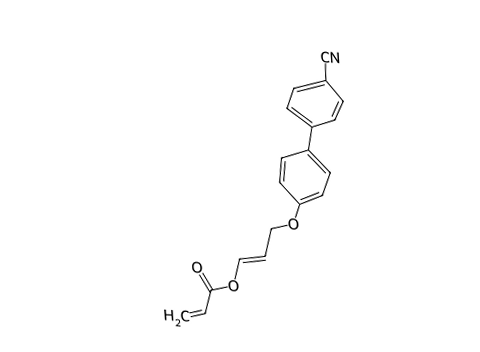 C=CC(=O)OC=CCOc1ccc(-c2ccc(C#N)cc2)cc1